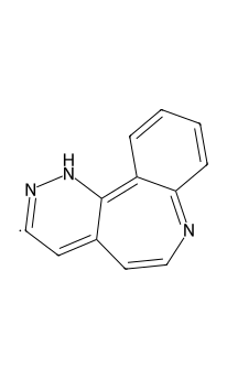 [C]1=NNC2=c3ccccc3=NC=CC2=C1